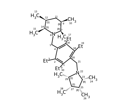 CCc1c(CC)c(CN2[C@H](C)[C@H](C)C[C@H](C)[C@@H]2C)c(CC)c(CC)c1CN1[C@H](C)[C@H](C)[C@H](C)[C@@H]1C